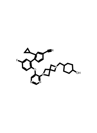 N#Cc1ccc(-c2cc(F)ccc2Oc2cncnc2N2CC3(CN(CC4CCC(O)CC4)C3)C2)c(C2CC2)c1